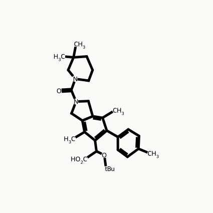 Cc1ccc(-c2c(C)c3c(c(C)c2C(OC(C)(C)C)C(=O)O)CN(C(=O)N2CCCC(C)(C)C2)C3)cc1